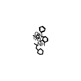 CC(CC1CCCCC1)NCc1ccccc1N(c1ccccc1)S(=O)(=O)N(C)C